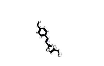 CCc1ccc(/C=C/c2nc(CCl)co2)cc1